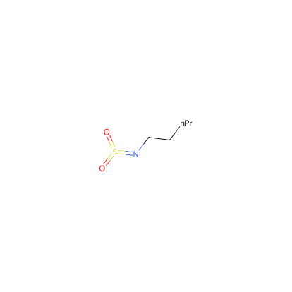 CCCCCN=S(=O)=O